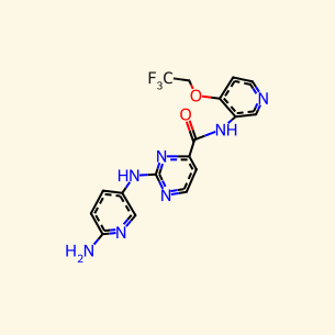 Nc1ccc(Nc2nccc(C(=O)Nc3cnccc3OCC(F)(F)F)n2)cn1